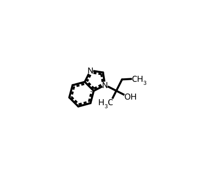 CCC(C)(O)n1cnc2ccccc21